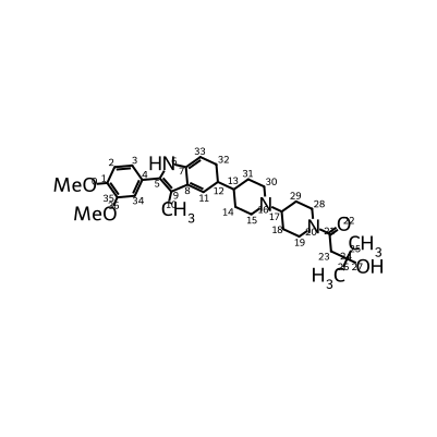 COc1ccc(-c2[nH]c3c(c2C)=CC(C2CCN(C4CCN(C(=O)CC(C)(C)O)CC4)CC2)CC=3)cc1OC